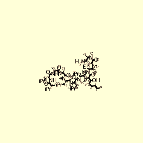 C/C=C/C[C@@H](C)[C@H](O)C(C(=O)N[C@@H](CC)C(=O)N(C)CC(=O)N(C)[C@H](C)C(N)=O)N(C)C(=O)[C@H](C(C)C)N(C)C(=O)[C@@H](CC(C)C)N(C)C(=O)[C@@H](CC(C)C)N(C)C(=O)[C@H](C)NC(=O)[C@@H](C)NC(=O)[C@@H](CC(C)C)NC(=O)[C@H](C)C(C)C